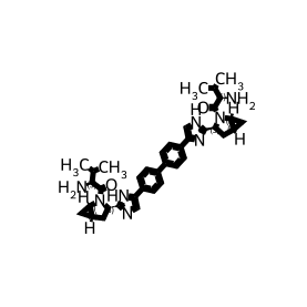 CC(C)[C@H](N)C(=O)N1[C@@H]2C[C@@H]2C[C@H]1c1nc(-c2ccc(-c3ccc(-c4cnc([C@@H]5C[C@@H]6C[C@H]6N5C(=O)[C@@H](N)C(C)C)[nH]4)cc3)cc2)c[nH]1